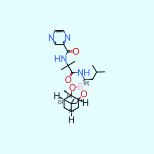 CC(C)C[C@H](NC(=O)C(C)(C)NC(=O)c1cnccn1)B1O[C@@H]2C[C@@H]3C[C@@H](C3(C)C)[C@]2(C)O1